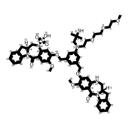 COCCOCCOCCN(CC(C)(C)S)c1cc(COc2cc3c(cc2OC)C(=O)N2c4ccccc4C[C@H]2CN3)cc(COc2cc3c(cc2OC)C(=O)N2c4ccccc4C[C@H]2CN3S(=O)(=O)O)c1